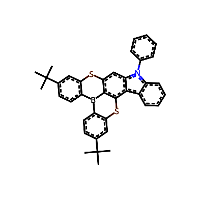 CC(C)(C)c1ccc2c(c1)Sc1cc3c(c4c1B2c1ccc(C(C)(C)C)cc1S4)c1ccccc1n3-c1ccccc1